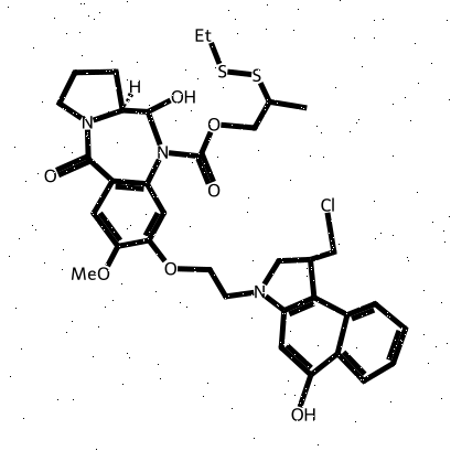 CCSSC(C)COC(=O)N1c2cc(OCCN3CC(CCl)c4c3cc(O)c3ccccc43)c(OC)cc2C(=O)N2CCC[C@H]2C1O